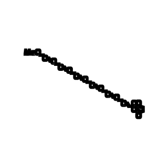 COCCOCCOCCOCCOCCOCCOCCOCCOCCOCCOCCOCCC(=O)ON1C(=O)CCC1=O